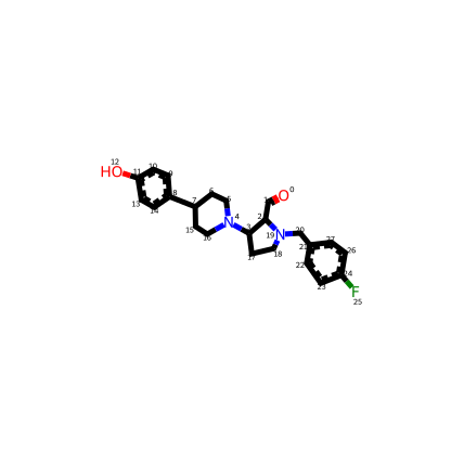 O=CC1C(N2CCC(c3ccc(O)cc3)CC2)CCN1Cc1ccc(F)cc1